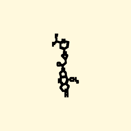 Cc1c2c(nc3c1CN(C(=O)CC1CN(c4ccnc(C(F)F)c4)C1)C3)CCNC2